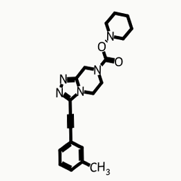 Cc1cccc(C#Cc2nnc3n2CCN(C(=O)ON2CCCCC2)C3)c1